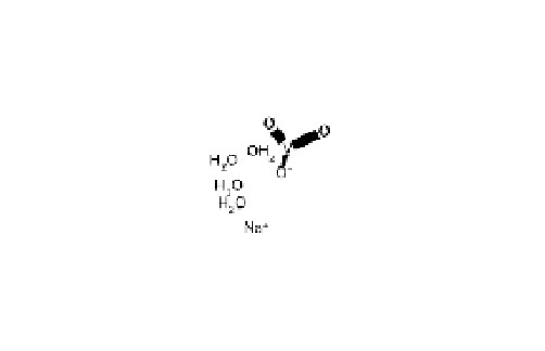 O.O.O.O.[Na+].[O]=[V](=[O])[O-]